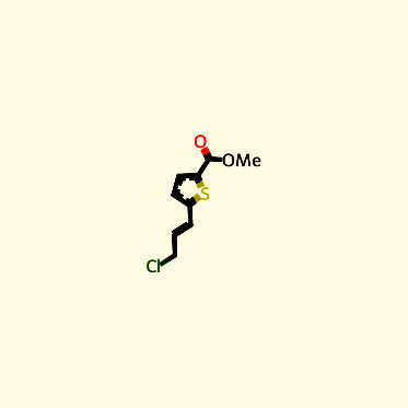 COC(=O)c1ccc(C=CCCl)s1